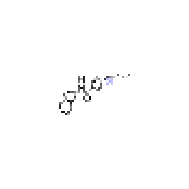 CCC/C=C/c1ccc(C(=O)Nc2ccc3ccccc3c2)cc1